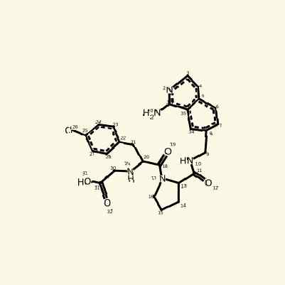 Nc1nccc2ccc(CNC(=O)C3CCCN3C(=O)C(Cc3ccc(Cl)cc3)NCC(=O)O)cc12